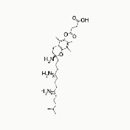 Cc1c(C)c2c(c(C)c1OC(=O)CCC(=O)O)CC[C@@](N)(CCC[C@H](N)CCC[C@H](N)CCCC(C)C)O2